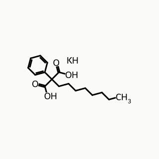 CCCCCCCCC(C(=O)O)(C(=O)O)c1ccccc1.[KH]